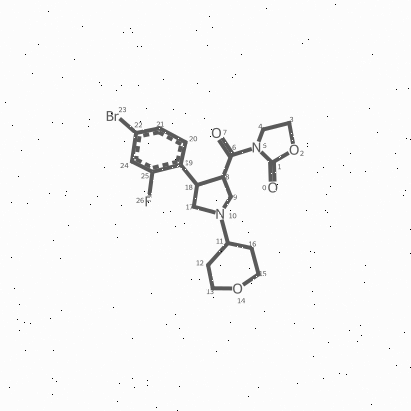 O=C1OCCN1C(=O)C1CN(C2CCOCC2)CC1c1ccc(Br)cc1F